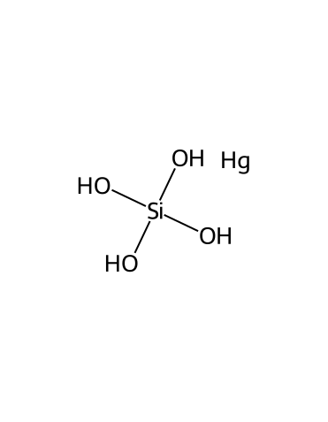 O[Si](O)(O)O.[Hg]